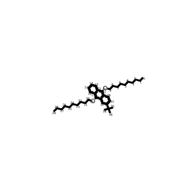 CCCCCCCCCCOc1c2ccccc2c(OCCCCCCCCCC)c2cc(C(C)(C)C)ccc12